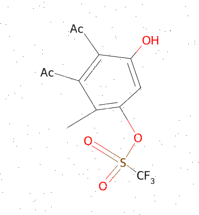 CC(=O)c1c(O)cc(OS(=O)(=O)C(F)(F)F)c(C)c1C(C)=O